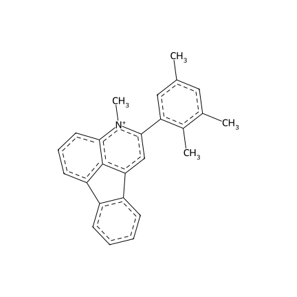 Cc1cc(C)c(C)c(-c2cc3c4c(cccc4[n+]2C)-c2ccccc2-3)c1